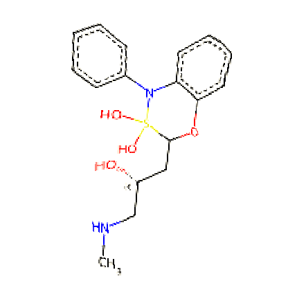 CNC[C@H](O)CC1Oc2ccccc2N(c2ccccc2)S1(O)O